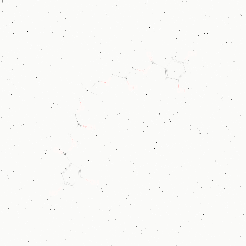 CC(C)(COCC(O)COC(=O)c1cc(O)cc(O)c1)COCC(O)COC(=O)c1cc(O)cc(O)c1